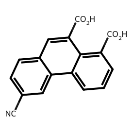 N#Cc1ccc2cc(C(=O)O)c3c(C(=O)O)cccc3c2c1